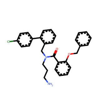 NCCCN(Cc1ccccc1-c1ccc(Cl)cc1)C(=O)c1ccccc1OCc1ccccc1